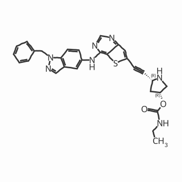 CCNC(=O)O[C@H]1CN[C@@H](C#Cc2cc3ncnc(Nc4ccc5c(cnn5Cc5ccccc5)c4)c3s2)C1